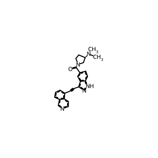 CN(C)[C@@H]1CCN(C(=O)c2ccc3[nH]nc(C#Cc4cccc5cnccc45)c3c2)C1